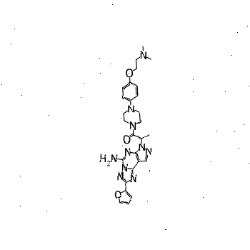 CC(C(=O)N1CCN(c2ccc(OCCN(C)C)cc2)CC1)n1ncc2c1nc(N)n1nc(-c3ccco3)nc21